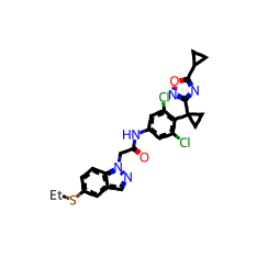 CCSc1ccc2c(cnn2CC(=O)Nc2cc(Cl)c(C3(c4noc(C5CC5)n4)CC3)c(Cl)c2)c1